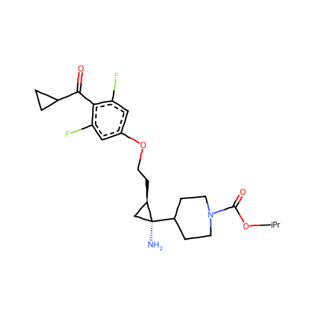 CC(C)OC(=O)N1CCC([C@@]2(N)C[C@H]2CCOc2cc(F)c(C(=O)C3CC3)c(F)c2)CC1